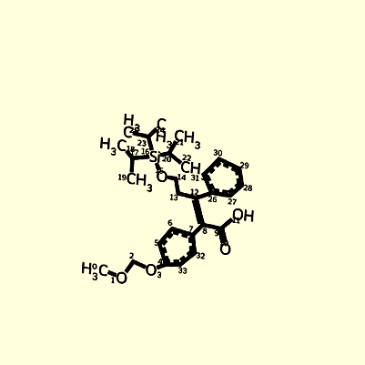 COCOc1ccc(/C(C(=O)O)=C(\CCO[Si](C(C)C)(C(C)C)C(C)C)c2ccccc2)cc1